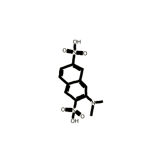 CN(C)c1cc2cc(S(=O)(=O)O)ccc2cc1S(=O)(=O)O